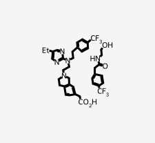 CCc1cnc(N(CCc2ccc(C(F)(F)F)cc2)CCN2CCc3ccc(CC(=O)O)cc3C2)nc1.O=C(Cc1ccc(C(F)(F)F)cc1)NCCO